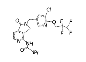 CC(C)C(=O)Nc1nccc2c1CN(Cc1cnc(OCC(F)(F)C(F)F)c(Cl)c1)C2=O